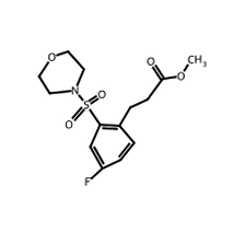 COC(=O)CCc1ccc(F)cc1S(=O)(=O)N1CCOCC1